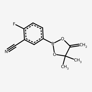 C=C1OB(c2ccc(F)c(C#N)c2)OC1(C)C